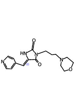 O=C1N/C(=C\c2ccncc2)C(=O)N1CCCN1CCOCC1